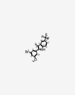 COc1cc(Br)cc(-c2[nH]c3ccc(C(F)(F)F)cc3c2C)c1